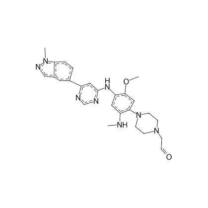 CNc1cc(Nc2cc(-c3ccc4c(cnn4C)c3)ncn2)c(OC)cc1N1CCN(CC=O)CC1